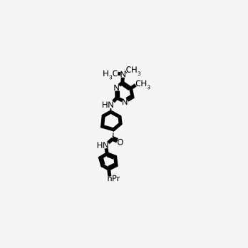 CCCc1ccc(NC(=O)[C@H]2CC[C@@H](Nc3ncc(C)c(N(C)C)n3)CC2)cc1